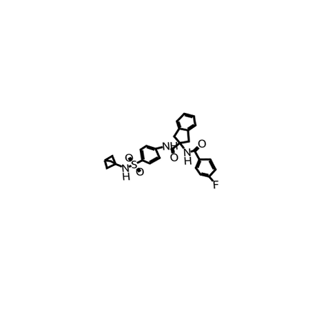 O=C(NC1(C(=O)Nc2ccc(S(=O)(=O)NC34CC(C3)C4)cc2)Cc2ccccc2C1)c1ccc(F)cc1